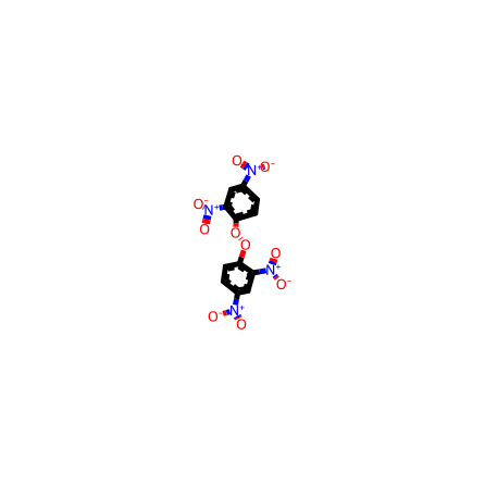 O=[N+]([O-])c1ccc(OOc2ccc([N+](=O)[O-])cc2[N+](=O)[O-])c([N+](=O)[O-])c1